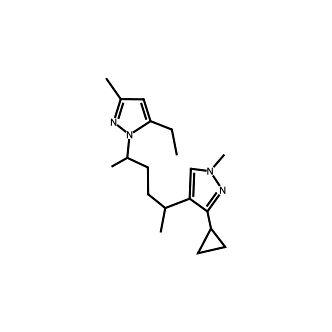 CCc1cc(C)nn1C(C)CCC(C)c1cn(C)nc1C1CC1